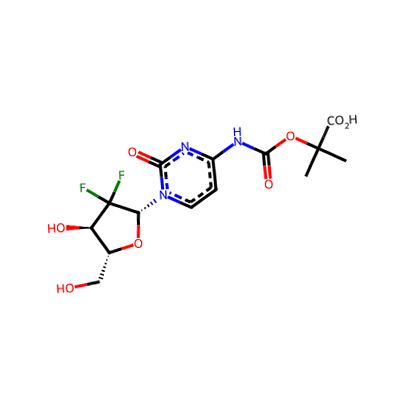 CC(C)(OC(=O)Nc1ccn([C@@H]2O[C@H](CO)[C@@H](O)C2(F)F)c(=O)n1)C(=O)O